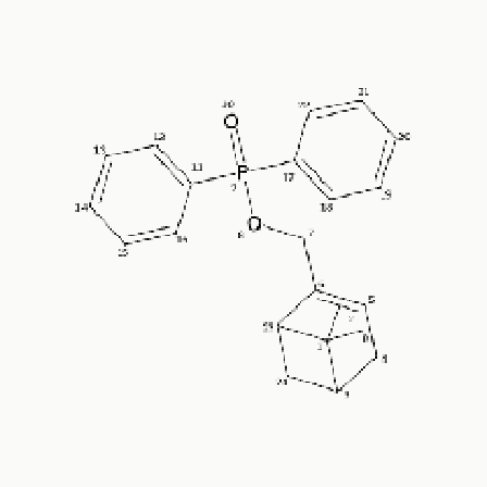 CC1(C)C2CC=C(COP(=O)(c3ccccc3)c3ccccc3)C1C2